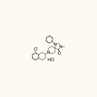 CN1CN(c2ccccc2)C2(CCN(C3CCc4cccc(Cl)c4C3)CC2)C1=O.Cl